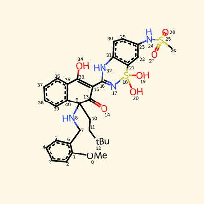 COc1ccccc1CNC1(CCC(C)(C)C)C(=O)C(C2=NS(O)(O)c3cc(NS(C)(=O)=O)ccc3N2)=C(O)c2ccccc21